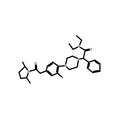 CCN(CC)C(=O)C(c1ccccc1)N1CCN(c2ccc(CC(=O)N3C(C)CCC3C)cc2F)CC1